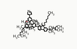 CCCCCCCCC1(C)c2cc(-c3cc(C)c(B(c4c(C)cc(-c5ccncc5)cc4C)c4c(C)cc(C(C)(CC)CCCC(C)C)cc4C)c(C)c3)ccc2-c2ccc(C(C)(C)CCC(CC)CC)cc21